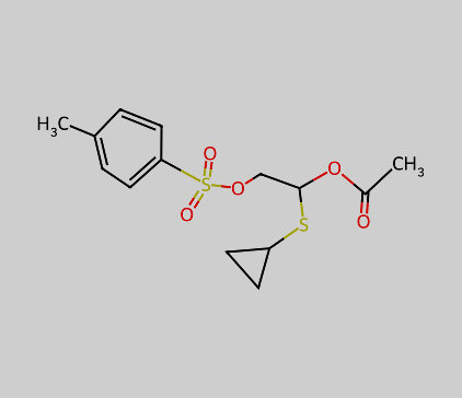 CC(=O)OC(COS(=O)(=O)c1ccc(C)cc1)SC1CC1